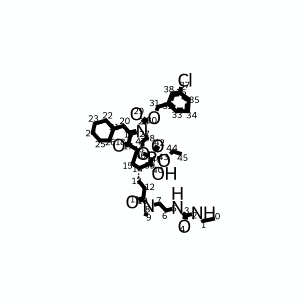 CCNC(=O)NCCN(C)C(=O)CC[C@H](CCC(=O)/C(CC1CCCCC1)=N/C(=O)OCc1cccc(Cl)c1)C(O)P(=O)(OCC)OCC